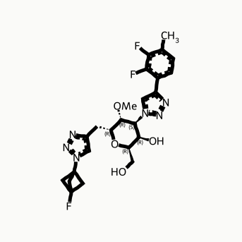 CO[C@@H]1[C@@H](n2cc(-c3ccc(C)c(F)c3F)nn2)[C@@H](O)[C@@H](CO)O[C@@H]1Cc1cn(C23CC(F)(C2)C3)nn1